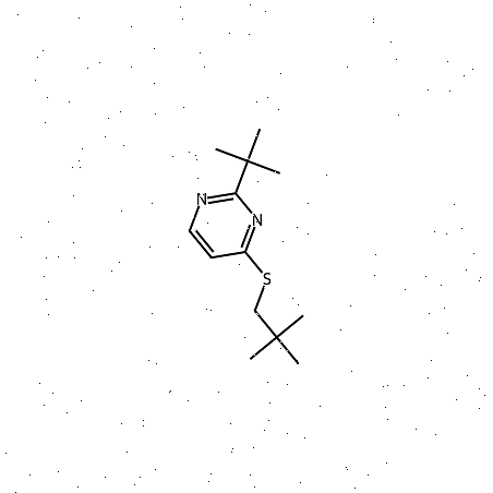 CC(C)(C)CSc1ccnc(C(C)(C)C)n1